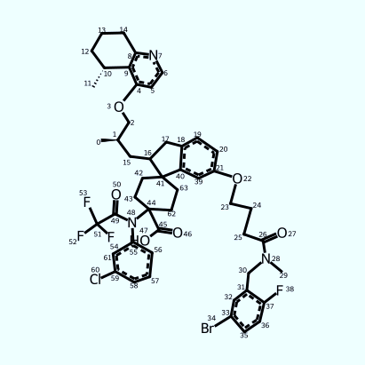 C[C@@H](COc1ccnc2c1[C@H](C)CCC2)CC1Cc2ccc(OCCCC(=O)N(C)Cc3cc(Br)ccc3F)cc2C12CCC(C(=O)O)(N(C(=O)C(F)(F)F)c1cccc(Cl)c1)CC2